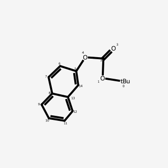 CC(C)(C)OC(=O)Oc1ccc2ccccc2c1